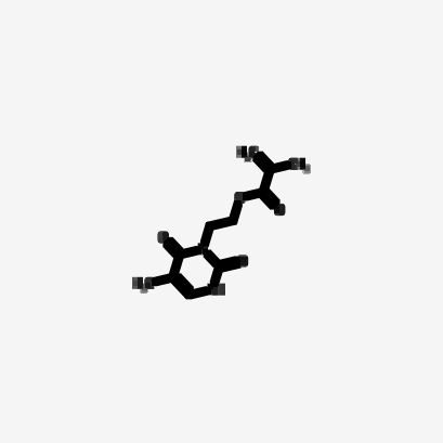 C=C(C)C(=O)OCCn1c(=O)[nH]cc(C)c1=O